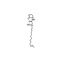 CCCCCCCCCCC[C@@H](O)CC(=O)N[C@H]1CCOC1=O